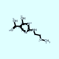 COCCNc1ncc(C(=O)O)c(O)n1